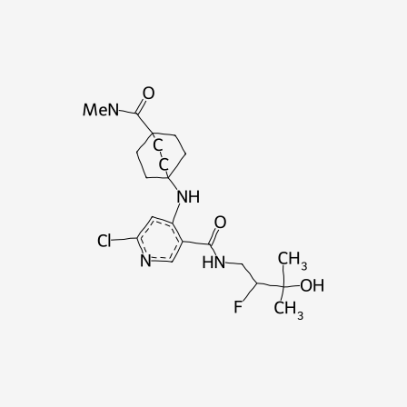 CNC(=O)C12CCC(Nc3cc(Cl)ncc3C(=O)NCC(F)C(C)(C)O)(CC1)CC2